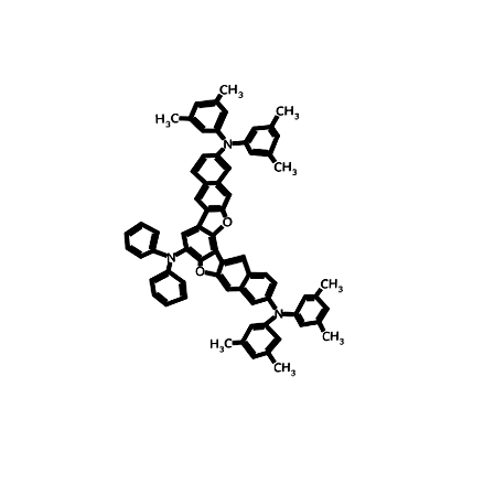 Cc1cc(C)cc(N(c2cc(C)cc(C)c2)c2ccc3cc4c(cc3c2)oc2c4cc(N(c3ccccc3)c3ccccc3)c3oc4cc5cc(N(c6cc(C)cc(C)c6)c6cc(C)cc(C)c6)ccc5cc4c32)c1